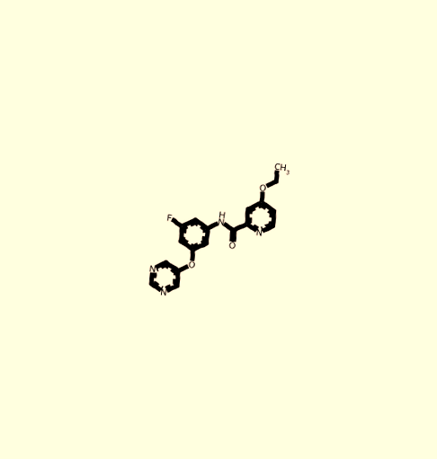 CCOc1ccnc(C(=O)Nc2cc(F)cc(Oc3cncnc3)c2)c1